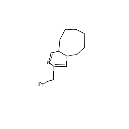 CC(C)CC1=CC2CCCCCCC2C=N1